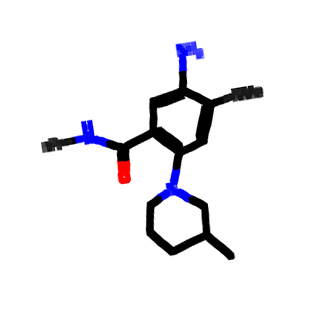 CCCNC(=O)c1cc(N)c(NC)cc1N1CCCC(C)C1